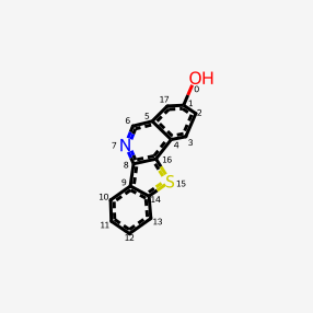 Oc1ccc2c(cnc3c4ccccc4sc23)c1